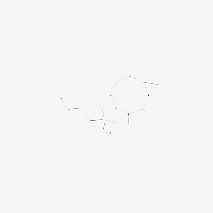 CO[Si]1(CCCN)OC2CCC3CC3C(C)C(C)(O1)C2C